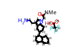 CNC(=O)Cn1cc(CCN)c2cc(-c3cccc4ccccc34)ccc21.O=C(O)C(F)(F)F